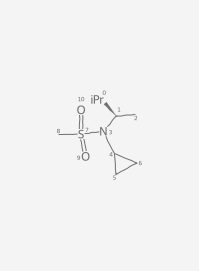 CC(C)[C@@H](C)N(C1CC1)S(C)(=O)=O